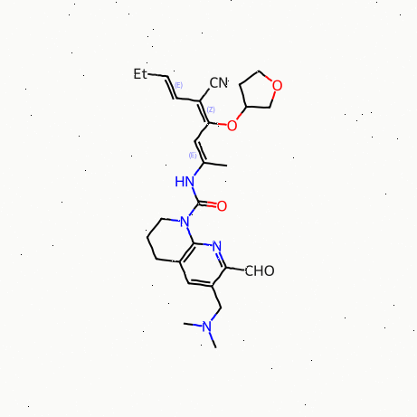 CC/C=C/C(C#N)=C(\C=C(/C)NC(=O)N1CCCc2cc(CN(C)C)c(C=O)nc21)OC1CCOC1